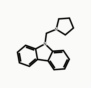 c1ccc2c(c1)c1ccccc1n2CN1CCCC1